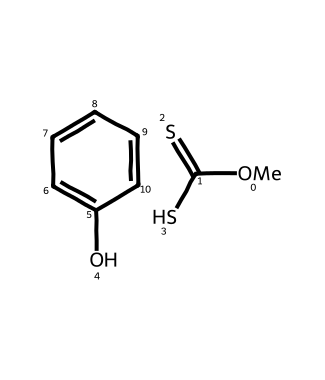 COC(=S)S.Oc1ccccc1